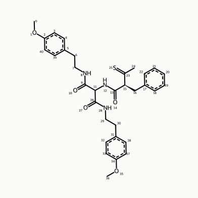 COc1ccc(CCNC(=O)C(NC(=O)[C@H](Cc2ccccc2)C(C)=S)C(=O)NCCc2ccc(OC)cc2)cc1